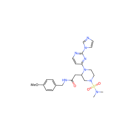 COc1ccc(CNC(=O)CC2CN(S(=O)(=O)N(C)C)CCN2c2ccnc(-n3ccnc3)n2)cc1